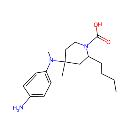 CCCCC1CC(C)(N(C)c2ccc(N)cc2)CCN1C(=O)O